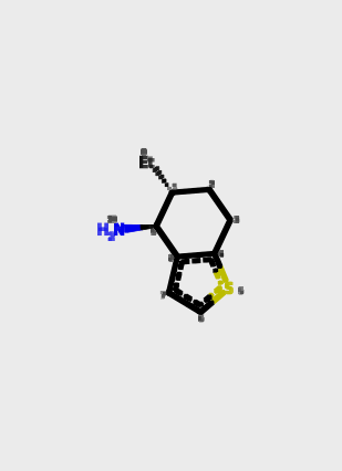 CC[C@@H]1CCc2sccc2[C@H]1N